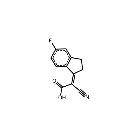 N#C/C(C(=O)O)=C1\CCc2cc(F)ccc21